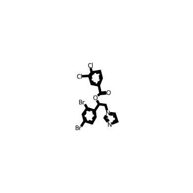 O=C(OC(Cn1ccnc1)c1ccc(Br)cc1Br)c1ccc(Cl)c(Cl)c1